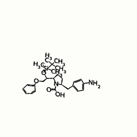 CC(C)(C)[Si](C)(C)O[C@H](COc1ccccc1)[C@H]1CC[C@@H](Cc2ccc(N)cc2)N1C(=O)O